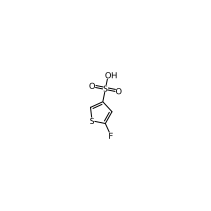 O=S(=O)(O)c1csc(F)c1